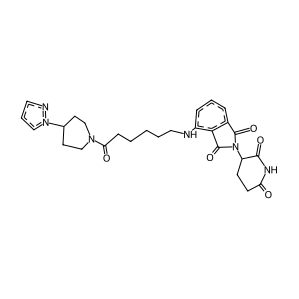 O=C1CCC(N2C(=O)c3cccc(NCCCCCC(=O)N4CCC(n5cccn5)CC4)c3C2=O)C(=O)N1